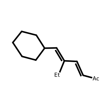 CCC(/C=C/C(C)=O)=C\C1CCCCC1